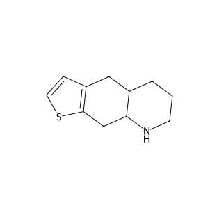 c1cc2c(s1)CC1NCCCC1C2